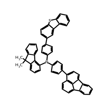 CC1(C)c2ccccc2-c2c(N(c3ccc(-c4ccc5sc6ccccc6c5c4)cc3)c3ccc(-c4ccc5c6c(cccc46)-c4ccccc4-5)cc3)cccc21